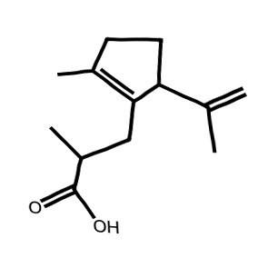 C=C(C)C1CCC(C)=C1CC(C)C(=O)O